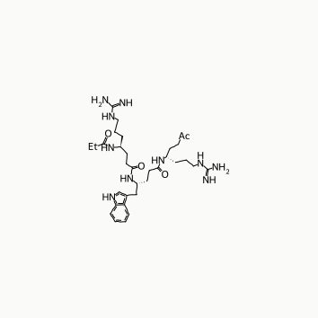 CCC(=O)N[C@@H](CCCNC(=N)N)CCC(=O)N[C@H](CCC(=O)N[C@@H](CCCNC(=N)N)CCC(C)=O)Cc1c[nH]c2ccccc12